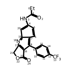 CCC(=O)Nc1ccc2c(-c3ccc(C(F)(F)F)cc3)c3c(nc2c1)COC3=O